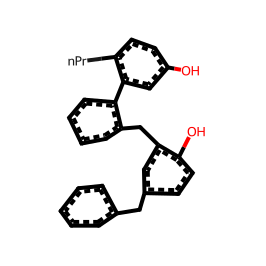 CCCc1ccc(O)cc1-c1ccccc1Cc1cc(Cc2ccccc2)ccc1O